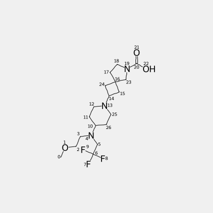 COCCN(CC(F)(F)F)C1CCN(C2CC3(CCN(C(=O)O)C3)C2)CC1